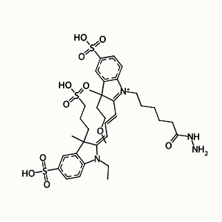 CCN1/C(=C/C=C/C2=[N+](CCCCCC(=O)NN)c3ccc(S(=O)(=O)O)cc3C2(C)CCOC)C(C)(CCCS(=O)(=O)O)c2cc(S(=O)(=O)O)ccc21